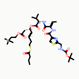 C/C=C(\NC(=O)c1csc(CNC(=O)OC(C)(C)C)n1)C(=O)N[C@H](C(=O)O[C@H](/C=C/CCSC(=O)CCC)CC(=O)OCC[Si](C)(C)C)C(C)C